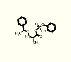 C[C@H](NO[C@@H](C)c1ccccc1)C(=O)OP(=O)(O)Oc1ccccc1